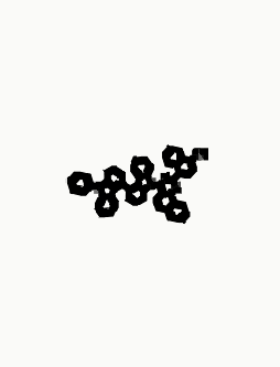 N#Cc1ccc(-c2nc(-n3c4ccccc4c4c(-c5cccc6c5c5ccccc5n6-c5ccccc5)cccc43)c3ccc4ccccc4c3n2)c2ccccc12